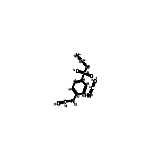 N=C=O.[N-]=[N+]=NS(=O)(=O)c1ccc(N=C=O)cc1